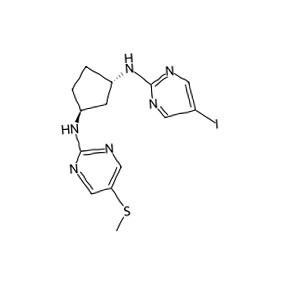 CSc1cnc(N[C@H]2CC[C@H](Nc3ncc(I)cn3)C2)nc1